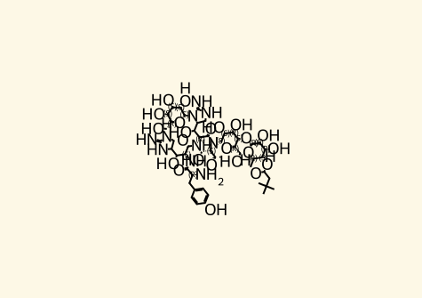 CC(C)(C)CC1OC[C@H]2O[C@H](O[C@H]3[C@H](O)[C@H](O)[C@@H](N(C(=O)[C@H](NC(=O)[C@@H](NC(=O)[C@H](N)Cc4ccc(O)cc4)C(O)C4CNC(=N)N4)C(O)C4CNC(=N)N4[C@H]4O[C@H](CO)[C@@H](O)[C@H](O)[C@@H]4O)[C@H]([C]=O)CO)O[C@@H]3CO)[C@@H](O)[C@@H](O)[C@@H]2O1